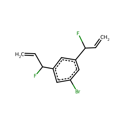 C=CC(F)c1cc(Br)cc(C(F)C=C)c1